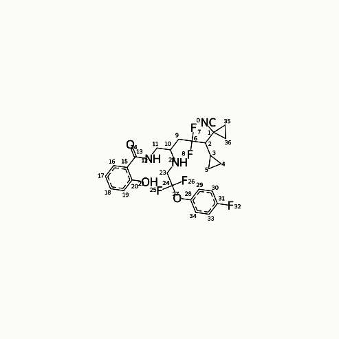 N#CC1(C(C2CC2)C(F)(F)CC(CNC(=O)c2ccccc2O)NCC(F)(F)Oc2ccc(F)cc2)CC1